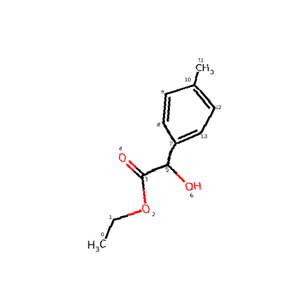 CCOC(=O)C(O)c1ccc(C)cc1